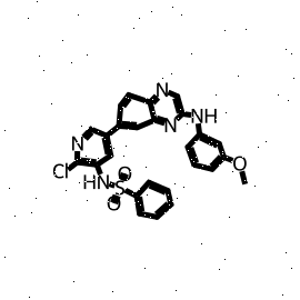 COc1cccc(Nc2cnc3ccc(-c4cnc(Cl)c(NS(=O)(=O)c5ccccc5)c4)cc3n2)c1